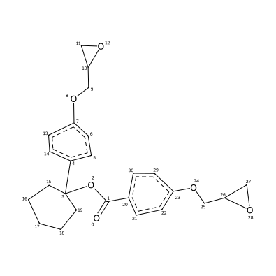 O=C(OC1(c2ccc(OCC3CO3)cc2)CCCCC1)c1ccc(OCC2CO2)cc1